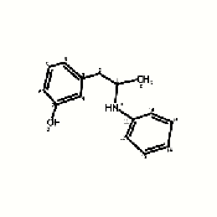 CC(Cc1cccc(O)c1)Nc1ccccc1